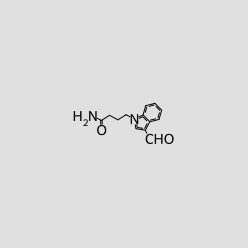 NC(=O)CCCn1cc(C=O)c2ccccc21